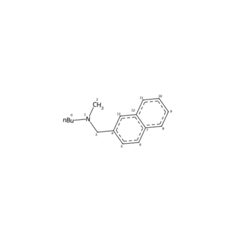 [CH2]CCCN(C)Cc1ccc2ccccc2c1